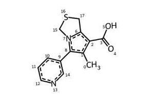 Cc1c(C(=O)O)c2n(c1-c1cccnc1)CSC2